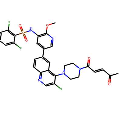 COc1ncc(-c2ccc3ncc(F)c(N4CCN(C(=O)/C=C/C(C)=O)CC4)c3c2)cc1NS(=O)(=O)c1c(F)cccc1F